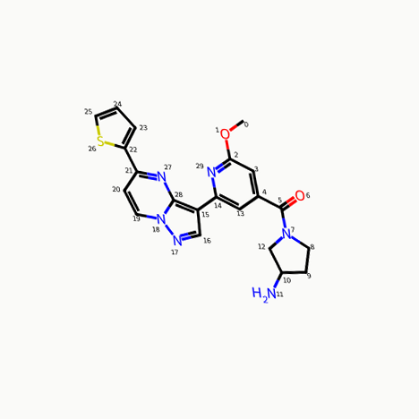 COc1cc(C(=O)N2CCC(N)C2)cc(-c2cnn3ccc(-c4cccs4)nc23)n1